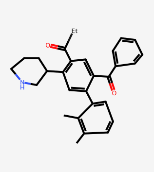 CCC(=O)c1cc(C(=O)c2ccccc2)c(-c2cccc(C)c2C)cc1C1CCCNC1